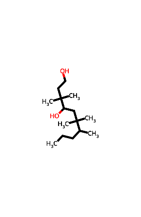 CCCC(C)C(C)(C)CC(O)C(C)(C)CCO